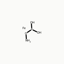 NOP(O)O.[Fe]